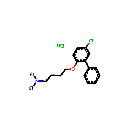 CCN(CC)CCCCOc1ccc(Cl)cc1-c1ccccc1.Cl